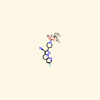 CC(C)(C)OC(=O)N1CCC(c2nn3c(c2C#N)CCc2cc(F)cnc2-3)CC1